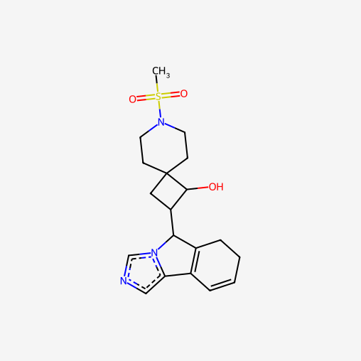 CS(=O)(=O)N1CCC2(CC1)CC(C1C3=C(C=CCC3)c3cncn31)C2O